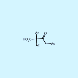 CC(=O)CC(=O)C(C(C)=O)(C(C)=O)C(=O)O